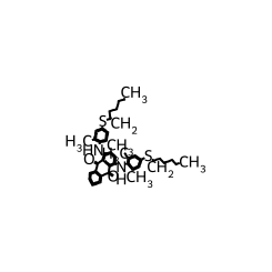 C=C(CCCCC)Sc1cc(C)c(Nc2ccc(Nc3c(C)cc(SC(=C)CCCCC)cc3C)c3c2C(=O)c2ccccc2C3=O)c(C)c1